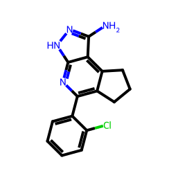 Nc1n[nH]c2nc(-c3ccccc3Cl)c3c(c12)CCC3